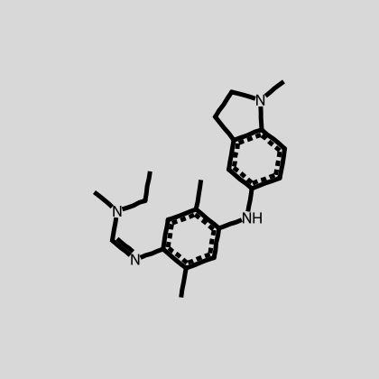 CCN(C)/C=N\c1cc(C)c(Nc2ccc3c(c2)CCN3C)cc1C